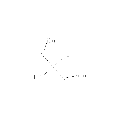 CCC(C)N[Si](NC(C)CC)(C(F)(F)F)C(F)(F)F